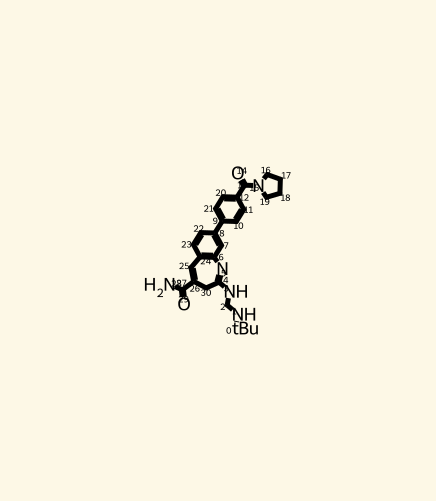 CC(C)(C)NCNC1=Nc2cc(-c3ccc(C(=O)N4CCCC4)cc3)ccc2C=C(C(N)=O)C1